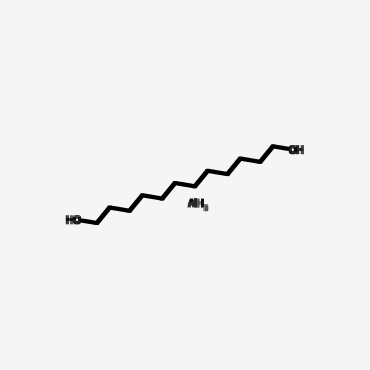 OCCCCCCCCCCCCO.[AlH3]